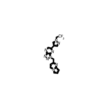 FC(F)(F)Cn1cc(-c2cnc3nnn(Cc4ccn5cccc5n4)c3n2)cn1